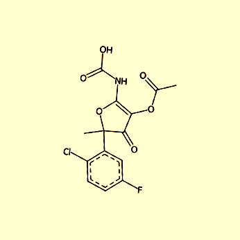 CC(=O)OC1=C(NC(=O)O)OC(C)(c2cc(F)ccc2Cl)C1=O